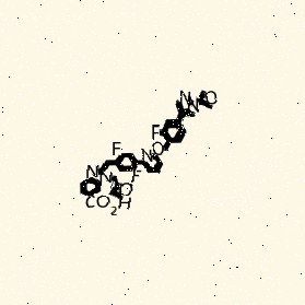 O=C(O)c1ccc2nc(Cc3cc(F)c(-c4cccc(OCc5ccc(-c6cnn(C7COC7)c6)cc5F)n4)cc3F)n(C[C@@H]3CCO3)c2c1